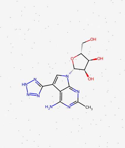 Cc1nc(N)c2c(-c3nn[nH]n3)cn([C@@H]3O[C@H](CO)[C@@H](O)[C@H]3O)c2n1